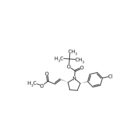 COC(=O)/C=C/[C@H]1CC[C@@H](c2ccc(Cl)cc2)N1C(=O)OC(C)(C)C